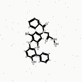 O=C(CN(C(=O)c1ccccc1)c1cc(Br)c(Oc2ccc(O)c(-c3ccccc3)c2)c(Br)c1)NO